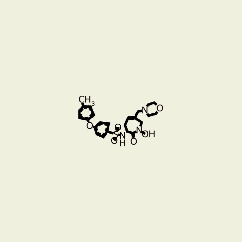 Cc1ccc(Oc2ccc(S(=O)(=O)N[C@@H]3CC=C(CN4CCOCC4)CN(O)C3=O)cc2)cc1